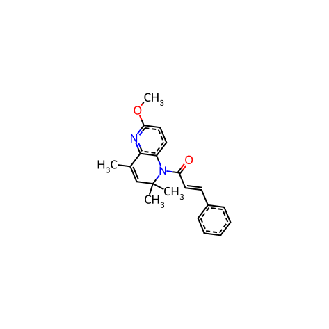 COc1ccc2c(n1)C(C)=CC(C)(C)N2C(=O)C=Cc1ccccc1